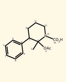 CC(=O)OC1(C)C(c2ccccc2)CCCN1C(=O)O